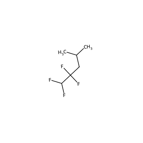 CC(C)CC(F)(F)C(F)F